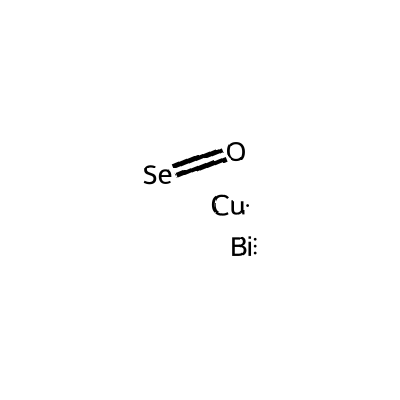 O=[Se].[Bi].[Cu]